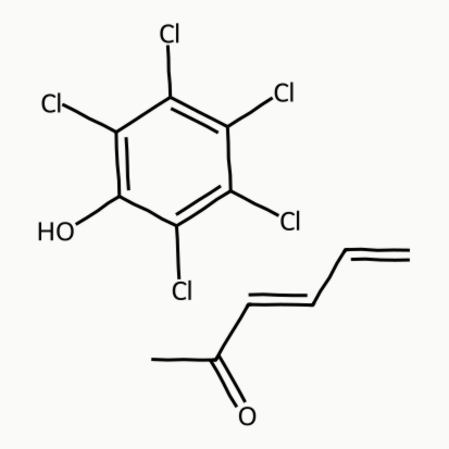 C=C/C=C/C(C)=O.Oc1c(Cl)c(Cl)c(Cl)c(Cl)c1Cl